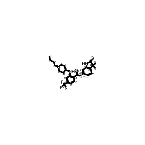 CCCCN1CCC(Nc2cc(C(F)(F)F)ccc2C(=O)Nc2ccc3c(c2)NC(=O)C3(C)C)CC1